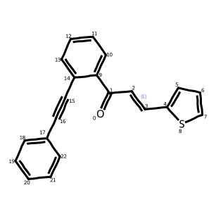 O=C(/C=C/c1cccs1)c1ccccc1C#Cc1ccccc1